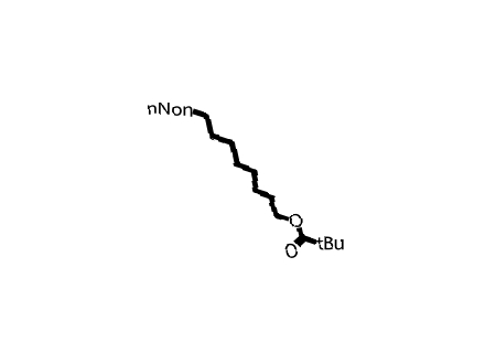 CCCCCCCCCCCCCCCCCOC(=O)C(C)(C)C